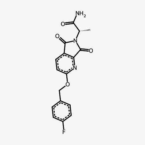 C[C@@H](C(N)=O)N1C(=O)c2ccc(OCc3ccc(F)cc3)nc2C1=O